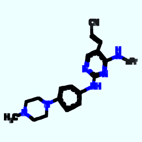 CCCNc1nc(Nc2ccc(N3CCN(C)CC3)cc2)ncc1/C=C/C#N